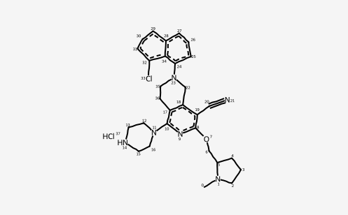 CN1CCCC1COc1nc(N2CCNCC2)c2c(c1C#N)CN(c1cccc3cccc(Cl)c13)CC2.Cl